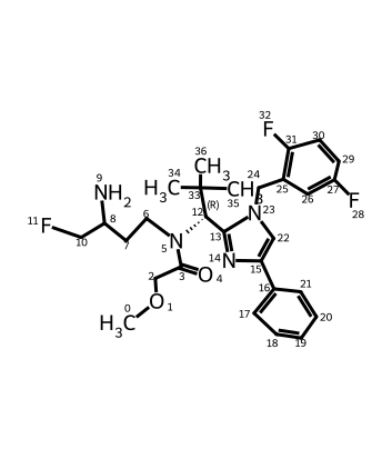 COCC(=O)N(CCC(N)CF)[C@@H](c1nc(-c2ccccc2)cn1Cc1cc(F)ccc1F)C(C)(C)C